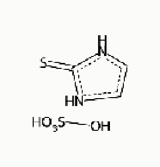 O=S(=O)(O)O.S=c1[nH]cc[nH]1